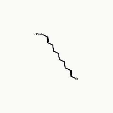 [CH2]C/C=C/CCCCCC/C=C/CCCCC